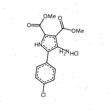 COC(=O)c1[nH]c(-c2ccc(Cl)cc2)c(N)c1C(=O)OC.Cl